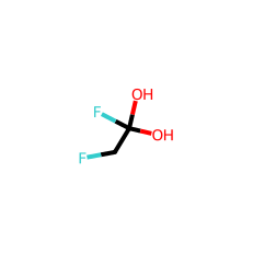 OC(O)(F)CF